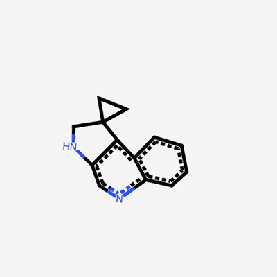 c1ccc2c3c(cnc2c1)NCC31CC1